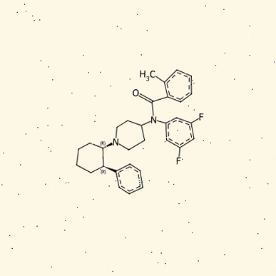 Cc1ccccc1C(=O)N(c1cc(F)cc(F)c1)C1CCN([C@@H]2CCCC[C@@H]2c2ccccc2)CC1